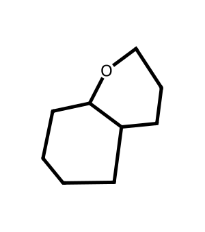 C1CCC2OCCCC2C1